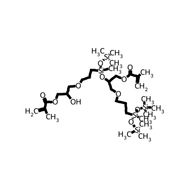 C=C(C)C(=O)OCC(O)COCCC[Si](C)(OC(COCCC[Si](C)(O[Si](C)(C)C)O[Si](C)(C)C)COC(=O)C(=C)C)O[Si](C)(C)C